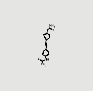 CC(=O)Nc1ccc(C#Cc2ccc(CC(N)=O)cc2)cc1